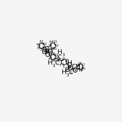 CC(C)(c1ccc(O[PH](=O)C(C)(C)Oc2ccccc2)cc1)c1ccc(OP(=O)(Oc2ccccc2)Oc2ccccc2)cc1